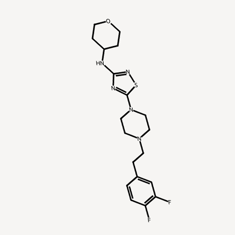 Fc1ccc(CCN2CCN(c3nc(NC4CCOCC4)ns3)CC2)cc1F